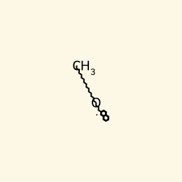 CCCCCCCCCCCCCCCCOCCCc1[c]c2ccccc2cc1